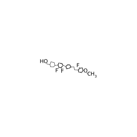 CCOc1ccc(CCc2ccc(-c3ccc(C4CCC(CO)CC4)c(F)c3F)cc2)c(F)c1